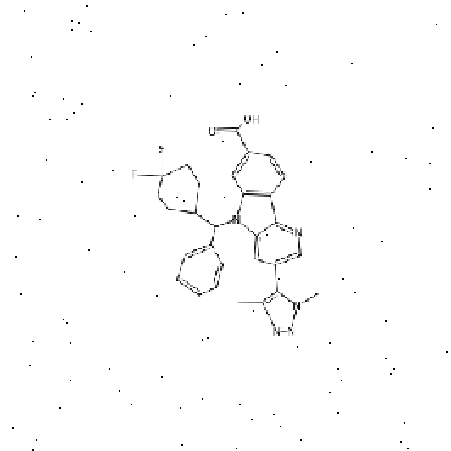 Cc1nnn(C)c1-c1cnc2c3ccc(C(=O)O)cc3n(C(c3ccccc3)C3CCC(F)(F)CC3)c2c1